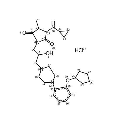 CC1C(=O)N(CC(O)CN2CCN(c3ccccc3OC3CCCC3)CC2)C(=O)C1NC1CC1.Cl